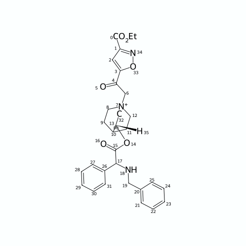 CCOC(=O)c1cc(C(=O)C[N+]23CCC(CC2)[C@@H](OC(=O)C(NCc2ccccc2)c2ccccc2)C3)on1